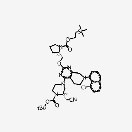 CC(C)(C)OC(=O)N1CCN(c2nc(OC[C@@H]3CCCN3C(=O)OCC[Si](C)(C)C)nc3c2CCN(c2cccc4cccc(Cl)c24)C3)C[C@@H]1CC#N